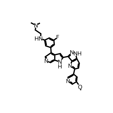 COc1cncc(-c2ccc3[nH]nc(-c4cc5c(-c6cc(F)cc(NCCN(C)C)c6)cncc5[nH]4)c3n2)c1